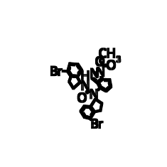 COC(=O)n1ncc2c(N(C(=O)NC3CCc4c(Br)cccc43)C3CCc4c(Br)cccc43)cccc21